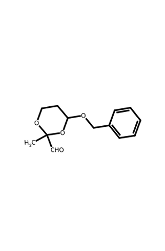 CC1(C=O)OCCC(OCc2ccccc2)O1